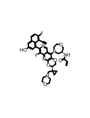 C#Cc1c(F)ccc2cc(O)cc(-c3ncc4c(N5CCOC[C@H](NC(=O)C=C)C5)c5c(nc4c3F)O[C@H](C3(CN4CCOCC4)CC3)CO5)c12